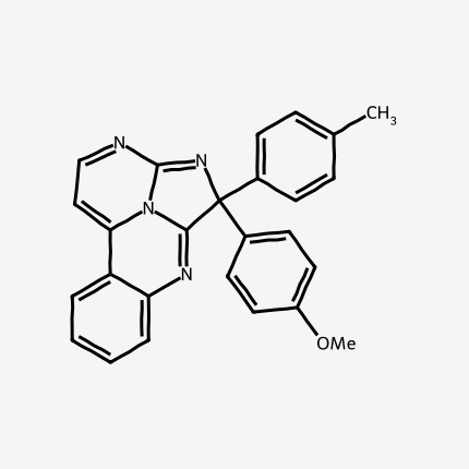 COc1ccc(C2(c3ccc(C)cc3)N=C3N=CC=C4c5ccccc5N=C2N43)cc1